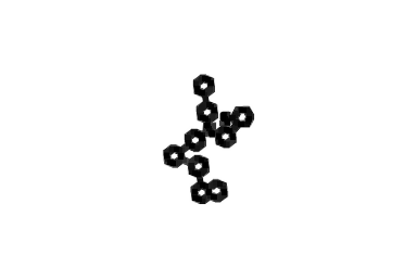 c1ccc(-c2ccc(N(c3ccc(-c4ccccc4-c4cccc(-c5cccc6ccccc56)c4)cc3)c3cccc4c3sc3ccccc34)cc2)cc1